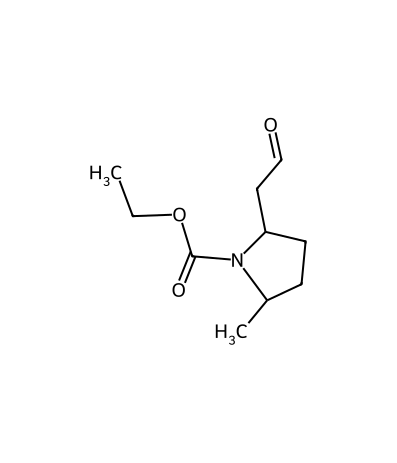 CCOC(=O)N1C(C)CCC1CC=O